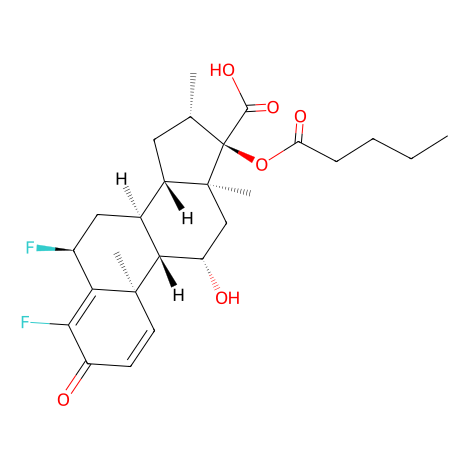 CCCCC(=O)O[C@]1(C(=O)O)[C@@H](C)C[C@H]2[C@@H]3C[C@H](F)C4=C(F)C(=O)C=C[C@]4(C)[C@H]3[C@@H](O)C[C@@]21C